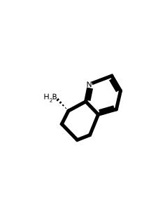 B[C@H]1CCCc2cccnc21